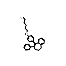 ClCCCCCOc1ccc(C2=C(c3ccccc3)CCCc3c[c]ccc32)cc1